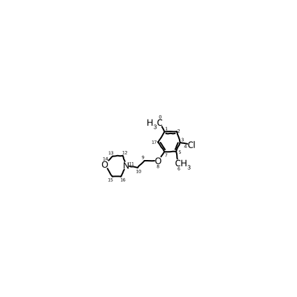 Cc1cc(Cl)c(C)c(OCCN2CCOCC2)c1